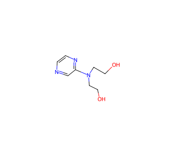 OCCN(CCO)c1cnccn1